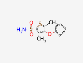 Cc1sc(S(N)(=O)=O)c(C)c1Oc1ccccc1